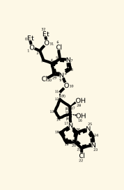 CCOC(Cc1c(Cl)nc[n+](OC[C@H]2CC[C@](O)(n3ccc4c(Cl)ncnc43)[C@@H]2O)c1Cl)OCC